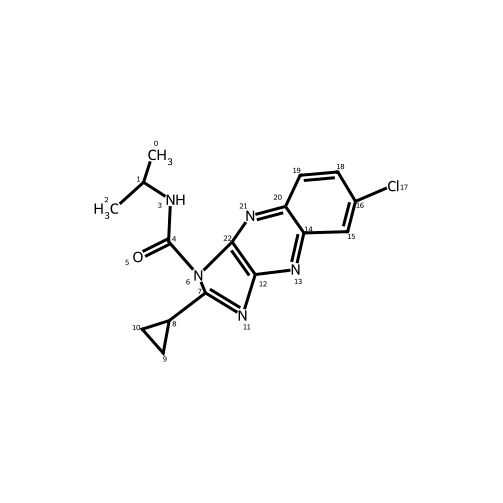 CC(C)NC(=O)n1c(C2CC2)nc2nc3cc(Cl)ccc3nc21